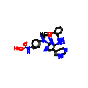 COc1ccccc1Nc1nc(Nc2ccc(NC(=O)O)cc2)ncc1-c1cncnc1